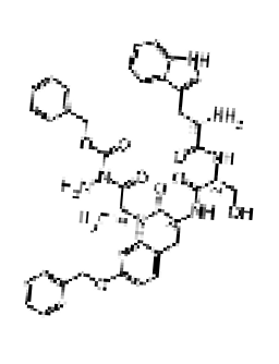 C[C@@H](NC(=O)[C@H](Cc1ccc(OCc2ccccc2)cc1)NC(=O)[C@H](CO)NC(=O)[C@@H](N)Cc1c[nH]c2ccccc12)C(=O)N(N)C(=O)OCc1ccccc1